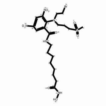 CS(=O)(=O)CCCN(CCBr)c1c(C(=O)NCCCCCCCC(=O)NO)cc([N+](=O)[O-])cc1[N+](=O)[O-]